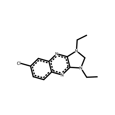 CCN1CN(CC)c2nc3cc(Cl)ccc3nc21